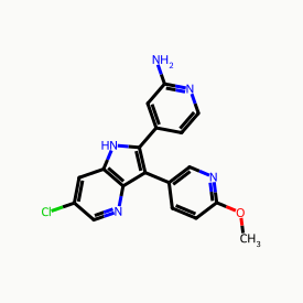 COc1ccc(-c2c(-c3ccnc(N)c3)[nH]c3cc(Cl)cnc23)cn1